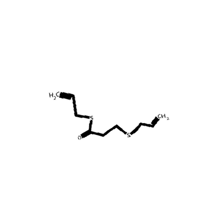 C=CCSCCC(=O)SCC=C